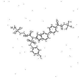 NS(=O)(=O)CCNC(=O)C(c1nc2ccc(-c3ccc(C(=O)NCC(F)(F)F)cc3)cc2s1)S(=O)(=O)Cc1ccc(F)cc1